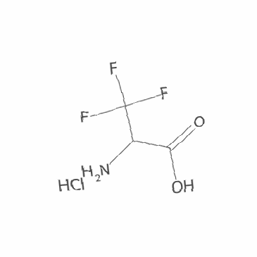 Cl.NC(C(=O)O)C(F)(F)F